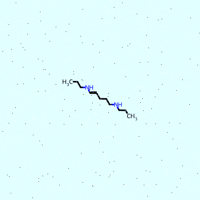 CCCNC=CCCCNCCC